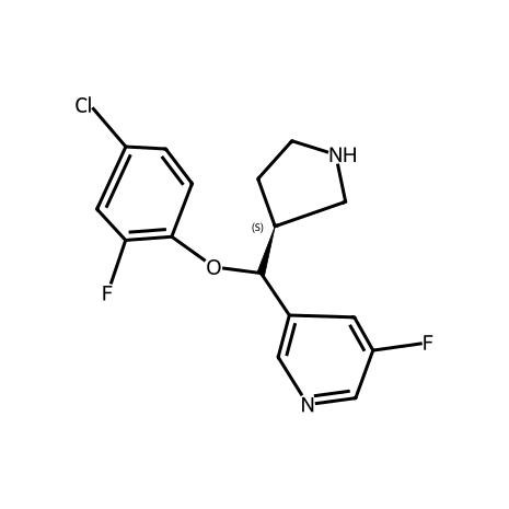 Fc1cncc(C(Oc2ccc(Cl)cc2F)[C@H]2CCNC2)c1